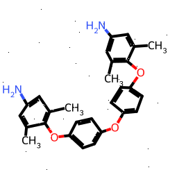 Cc1cc(N)cc(C)c1Oc1ccc(Oc2ccc(Oc3c(C)cc(N)cc3C)cc2)cc1